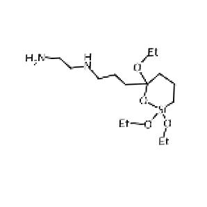 CCOC1(CCCNCCN)CCC[Si](OCC)(OCC)O1